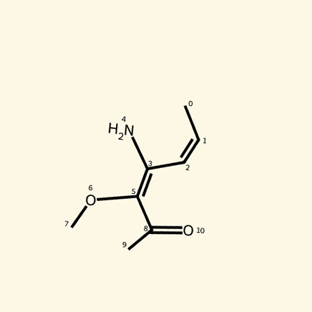 C/C=C\C(N)=C(\OC)C(C)=O